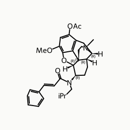 COc1cc(OC(C)=O)c2c3c1O[C@H]1[C@H](N(CC(C)C)C(=O)C=Cc4ccccc4)CC[C@H]4[C@@H](C2)N(C)CC[C@@]341